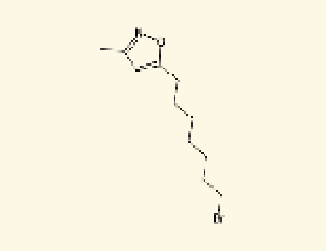 Cc1cc(CCCCCCCBr)on1